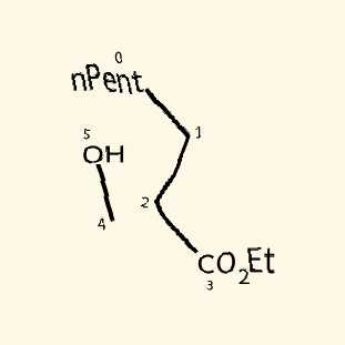 CCCCCCCC(=O)OCC.CO